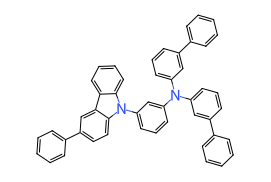 c1ccc(-c2cccc(N(c3cccc(-c4ccccc4)c3)c3cccc(-n4c5ccccc5c5cc(-c6ccccc6)ccc54)c3)c2)cc1